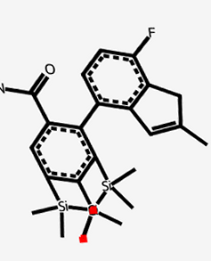 COc1c2cc(C([NH])=O)c(-c3ccc(F)c4c3C=C(C)C4)c1[Si](C)(C)[Si](C)(C)[Si]2(C)C